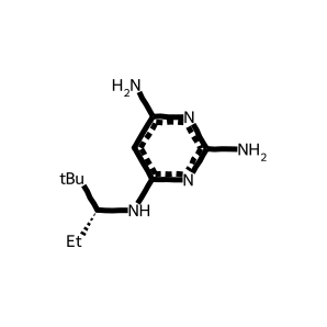 CC[C@@H](Nc1cc(N)nc(N)n1)C(C)(C)C